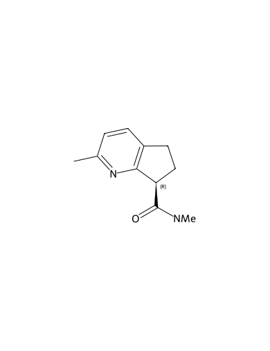 CNC(=O)[C@@H]1CCc2ccc(C)nc21